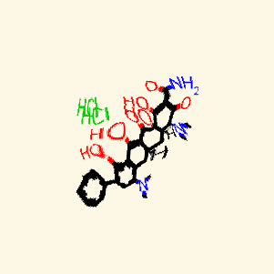 CN(C)c1cc(-c2ccccc2)c(O)c2c1C[C@H]1C[C@H]3[C@H](N(C)C)C(=O)C(C(N)=O)=C(O)[C@@]3(O)C(=O)C1=C2O.Cl.Cl